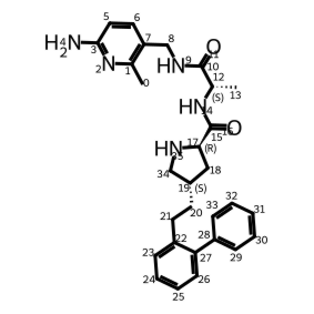 Cc1nc(N)ccc1CNC(=O)[C@H](C)NC(=O)[C@H]1C[C@H](CCc2ccccc2-c2ccccc2)CN1